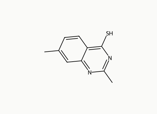 Cc1ccc2c(S)nc(C)nc2c1